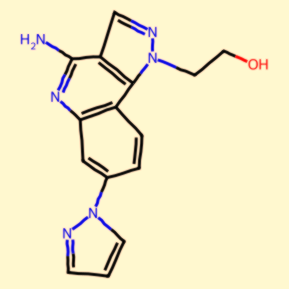 Nc1nc2cc(-n3cccn3)ccc2c2c1cnn2CCO